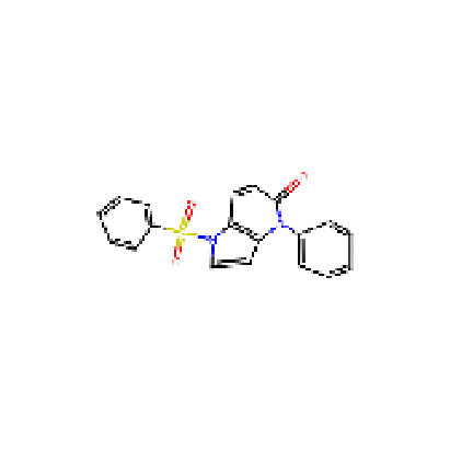 O=c1ccc2c(ccn2S(=O)(=O)c2ccccc2)n1-c1ccccc1